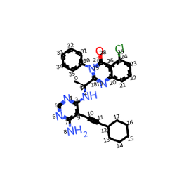 C[C@H](Nc1ncnc(N)c1C#CC1CCCCC1)c1nc2cccc(Cl)c2c(=O)n1-c1ccccc1